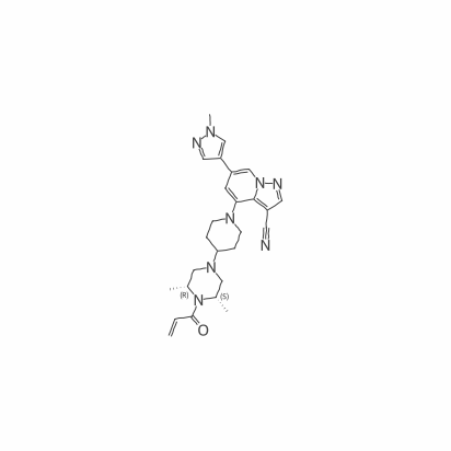 C=CC(=O)N1[C@H](C)CN(C2CCN(c3cc(-c4cnn(C)c4)cn4ncc(C#N)c34)CC2)C[C@@H]1C